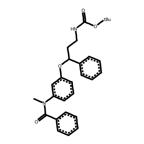 CN(C(=O)c1ccccc1)c1cccc(OC(CCNC(=O)OC(C)(C)C)c2ccccc2)c1